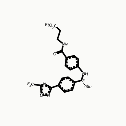 CCCC[C@@H](Nc1ccc(C(=O)NCCC(=O)OCC)cc1)c1ccc(-c2noc(C(F)(F)F)n2)cc1